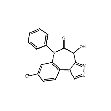 O=C1C(O)c2nncn2-c2ccc(Cl)cc2N1c1ccccc1